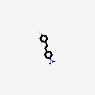 CN(C)c1ccc(/C=C/c2ccc(F)cc2)cc1